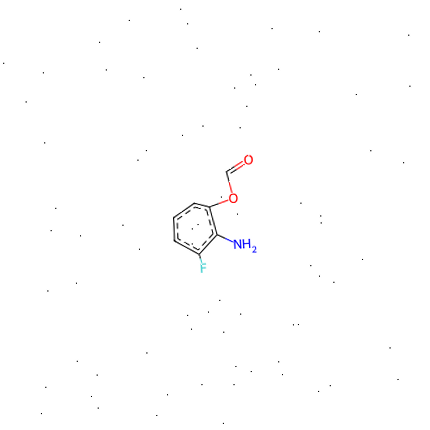 Nc1c(F)cccc1OC=O